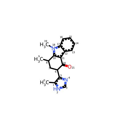 Cc1[nH]cnc1C1CC(C)c2c(c3ccccc3n2C)C1=O